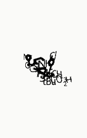 CC(C)(C)Sc1c(CC(C)(C)C(=O)O)n(Cc2ccc(Cl)cc2)c2ccc(OC(C(=O)c3cccnc3)C3CCCN3)cc12